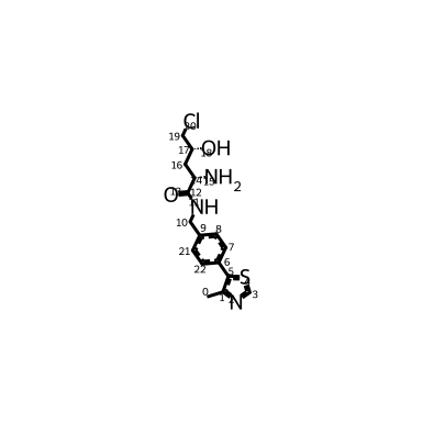 Cc1ncsc1-c1ccc(CNC(=O)[C@@H](N)C[C@@H](O)CCl)cc1